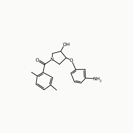 Cc1ccc(C)c(C(=O)N2CC(O)C(Oc3cccc(N)c3)C2)c1